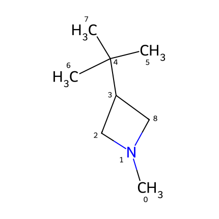 CN1CC(C(C)(C)C)C1